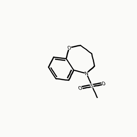 CS(=O)(=O)N1CCCOc2ccccc21